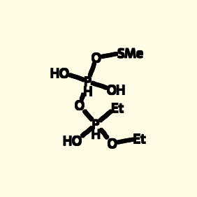 CCO[PH](O)(CC)O[PH](O)(O)OSC